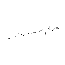 CC(C)(C)CCOCCOCCOC(=O)NCC(C)(C)C